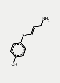 NCC=CSc1ccc(O)cc1